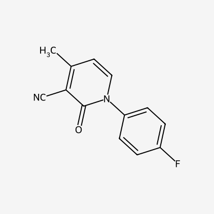 Cc1ccn(-c2ccc(F)cc2)c(=O)c1C#N